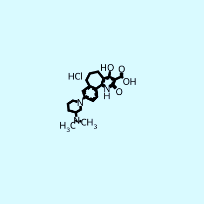 CN(C)C1CCCN(c2ccc3c(c2)CCCc2c-3[nH]c(=O)c(C(=O)O)c2O)C1.Cl